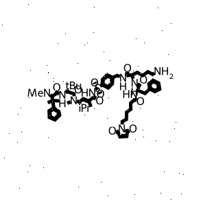 CNC(C(=O)NC(C(=O)N(C)C(C=C(C)C(=O)NS(=O)(=O)c1ccc(CNC(=O)C(CCCCN)NC(=O)C(Cc2ccccc2)NC(=O)CCCCCN2C(=O)C=CC2=O)cc1)C(C)C)C(C)(C)C)C(C)(C)c1ccccc1